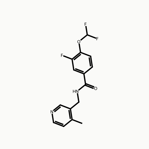 Cc1ccncc1CNC(=O)c1ccc(OC(F)F)c(F)c1